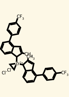 CC1=Cc2c(-c3ccc(C(F)(F)F)cc3)cccc2[CH]1[Zr+2]1([CH]2C(C)=Cc3c(-c4ccc(C(F)(F)F)cc4)cccc32)[CH2][CH2]1.[Cl-].[Cl-]